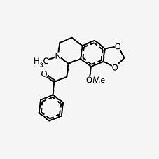 COc1c2c(cc3c1C(CC(=O)c1ccccc1)N(C)CC3)OCO2